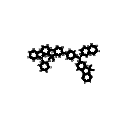 CC1(C)c2ccccc2-c2ccc(N(c3ccc(-c4ccc5c(c4)C(C)(C)c4c-5ccc5c6ccccc6n(-c6ccccc6)c45)cc3)c3ccc4ccccc4c3)cc21